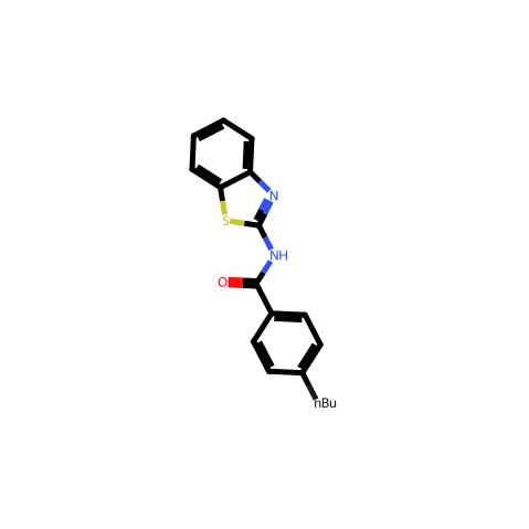 CCCCc1ccc(C(=O)Nc2nc3ccccc3s2)cc1